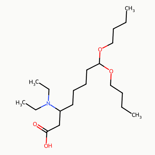 CCCCOC(CCCCC(CC(=O)O)N(CC)CC)OCCCC